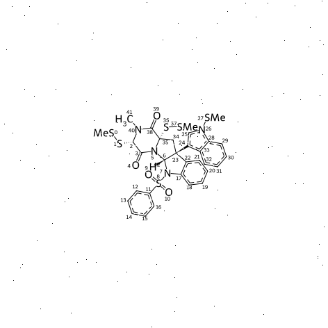 CSS[C@H]1C(=O)N2[C@H]3N(S(=O)(=O)c4ccccc4)c4ccccc4[C@@]3(c3cn(SC)c4ccccc34)C[C@]2(SSC)C(=O)N1C